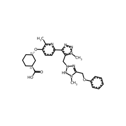 Cc1nc(-c2nnn(C)c2CN2N=C(COc3ccccc3)N(C)N2)ccc1O[C@H]1CCC[C@H](C(=O)O)C1